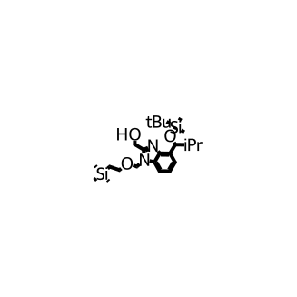 CC(C)C(O[Si](C)(C)C(C)(C)C)c1cccc2c1nc(CO)n2COCC[Si](C)(C)C